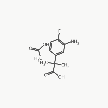 CC(=O)O.CC(C)(C(=O)O)c1ccc(F)c(N)c1